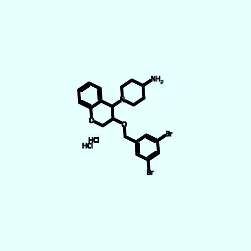 Cl.Cl.NC1CCN(C2c3ccccc3OCC2OCc2cc(Br)cc(Br)c2)CC1